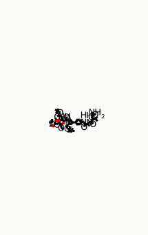 COc1cc(C(=O)N2C=C(c3ccc(NC(=O)C(C)NC(=O)C(OC(N)=O)C(C)C)cc3)CC2CO[Si](C)(C)C(C)(C)C)c(NC(=O)OC(C)(C)C)cc1O[Si](C(C)C)(C(C)C)C(C)C